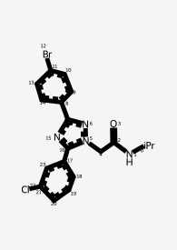 CC(C)NC(=O)Cn1nc(-c2ccc(Br)cc2)nc1-c1cccc(Cl)c1